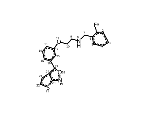 Fc1ccccc1CNCCOc1cccc(-c2onc3sccc23)c1